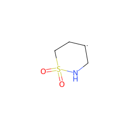 O=S1(=O)CC[CH]CN1